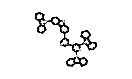 c1ccc2c(c1)c1ccccc1n2-c1ccc2oc3ccc(-c4cncc(-c5cc(-n6c7ccccc7c7ccccc76)nc(-n6c7ccccc7c7ccccc76)c5)c4)cc3c2c1